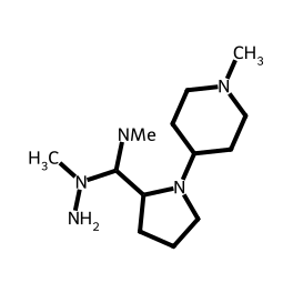 CNC(C1CCCN1C1CCN(C)CC1)N(C)N